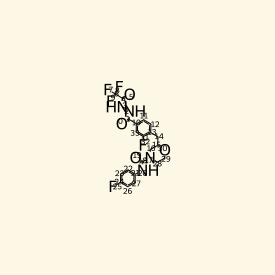 O=C(NNC(=O)C(F)(F)F)c1ccc(CC2CN(C(=O)Nc3ccc(F)cc3)CCO2)c(F)c1